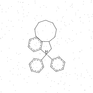 c1ccc([PH](CC2CCCCCCCC2)(c2ccccc2)c2ccccc2)cc1